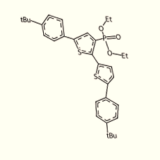 CCOP(=O)(OCC)c1cc(-c2ccc(C(C)(C)C)cc2)sc1-c1ccc(-c2ccc(C(C)(C)C)cc2)s1